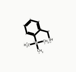 C[Si](C)(C)c1ccccc1CS